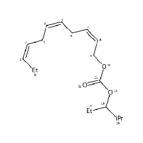 CC/C=C\C/C=C\C/C=C\COC(=O)OC(CC)C(C)C